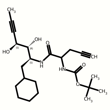 C#CCC(NC(=O)OC(C)(C)C)C(=O)N[C@@H](CC1CCCCC1)[C@@H](O)[C@@H](O)C#CC